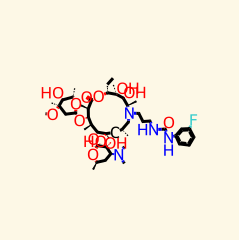 CC[C@H]1OC(=O)[C@H](C)[C@@H](O[C@H]2C[C@@](C)(OC)[C@@H](O)[C@H](C)O2)[C@H](C)[C@@H](O[C@@H]2O[C@H](C)C[C@H](N(C)C)[C@H]2O)[C@](C)(O)C[C@@H](C)CN(CCCNC(=O)Nc2cccc(F)c2)[C@H](C)[C@@H](O)[C@]1(C)O